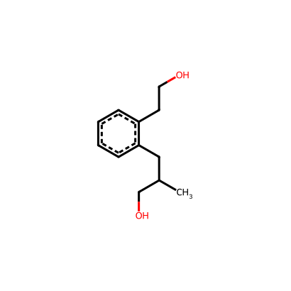 CC(CO)Cc1ccccc1CCO